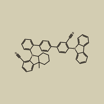 CC12CCCCC1N(c1ccccc1-c1ccc(-c3ccc(-n4c5ccccc5c5ccccc54)c(C#N)c3)cc1)c1c(C#N)cccc12